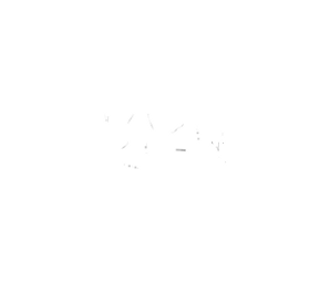 O=[N+]([O-])c1ccc(-c2ccc(Br)c3ccccc23)cc1